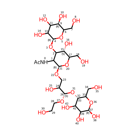 CC(=O)NC1C(O[C@@H]2OC(CO)[C@H](O)C(O)C2O)[C@H](O)C(CO)O[C@H]1OCC(O)[C@@H](OCCO)O[C@@H]1C(CO)O[C@@H](O)C(O)C1O